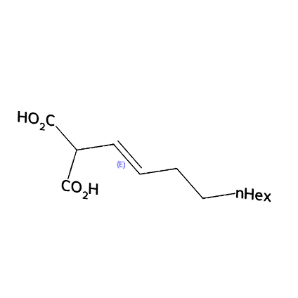 CCCCCCCC/C=C/C(C(=O)O)C(=O)O